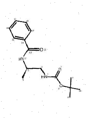 C[C@H](CNC(=O)OC(C)(C)C)NC(=O)c1ccccc1